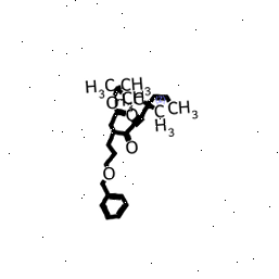 C/C=C\C(C)(C)C#CC(=O)C(CCCOCc1ccccc1)CC(=O)OC(C)(C)C